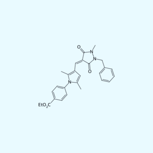 CCOC(=O)c1ccc(-n2c(C)cc(C=C3C(=O)N(C)N(Cc4ccccc4)C3=O)c2C)cc1